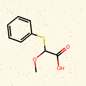 COC(Sc1ccccc1)C(=O)O